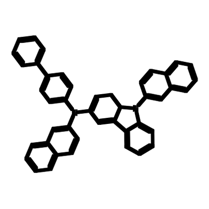 C1=C2c3ccccc3N(c3ccc4ccccc4c3)C2CC=C1N(c1ccc(-c2ccccc2)cc1)c1ccc2ccccc2c1